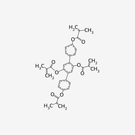 C=C(C)C(=O)Oc1ccc(-c2cc(OC(=O)C(=C)C)c(-c3ccc(OC(=O)C(=C)C)cc3)cc2OC(=O)C(=C)C)cc1